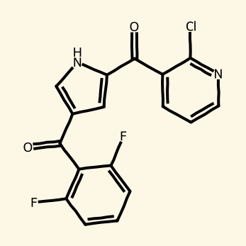 O=C(c1cc(C(=O)c2c(F)cccc2F)c[nH]1)c1cccnc1Cl